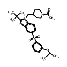 CC(=O)N1CCC(Cn2c(C(C)(C)C)nc3cc(S(=O)(=O)c4cccc(OC(C)C)c4)ccc32)CC1